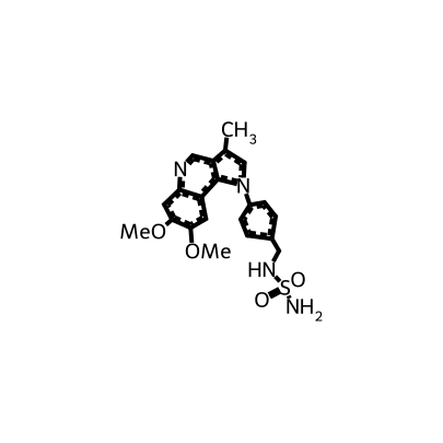 COc1cc2ncc3c(C)cn(-c4ccc(CNS(N)(=O)=O)cc4)c3c2cc1OC